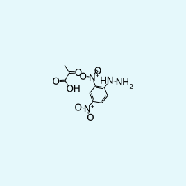 CC(=O)C(=O)O.NNc1ccc([N+](=O)[O-])cc1[N+](=O)[O-]